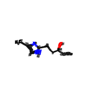 COC(=O)CCc1nc(C)c[nH]1